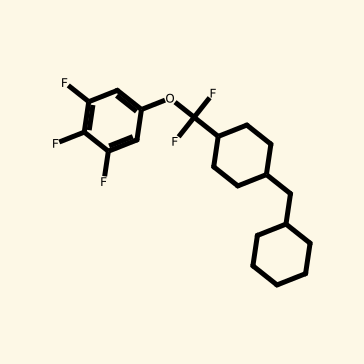 Fc1cc(OC(F)(F)C2CCC(CC3CCCCC3)CC2)cc(F)c1F